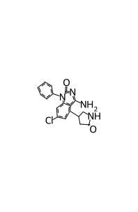 Nc1nc(=O)n(-c2ccccc2)c2cc(Cl)cc(C3CNC(=O)C3)c12